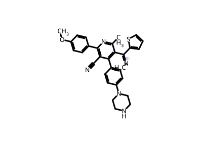 C/N=C(/c1cccs1)c1c(C)nc(-c2ccc(OC)cc2)c(C#N)c1-c1ccc(N2CCNCC2)cc1